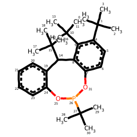 CC(C)(C)c1ccc2c(c1C(C)(C)C)C(C(C)(C)C)c1ccccc1OP(C(C)(C)C)O2